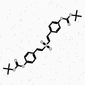 CC(C)(C)OC(=O)Oc1ccc(C=CS(=O)(=O)C=Cc2ccc(OC(=O)OC(C)(C)C)cc2)cc1